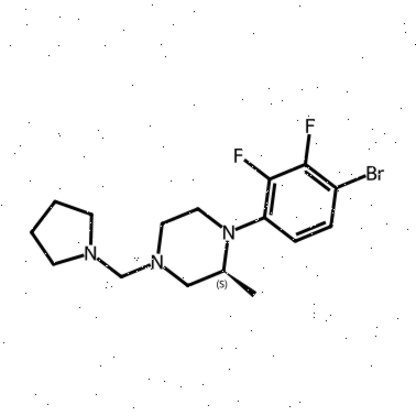 C[C@H]1CN(CN2CCCC2)CCN1c1ccc(Br)c(F)c1F